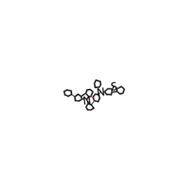 c1ccc(-c2ccc3c(c2)c2ccccc2n3-c2ccccc2-c2ccc(N(c3ccccc3)c3ccc4c(c3)sc3ccccc34)cc2)cc1